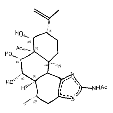 C=C(C)[C@@H]1CC[C@H]2C3c4nc(NC(C)=O)sc4C[C@H](C)[C@H]3[C@H](O)[C@H](O)[C@@]2(C(C)=O)[C@@H]1O